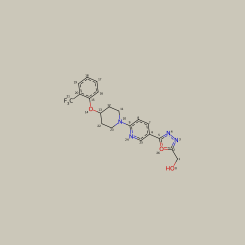 OCc1nnc(-c2ccc(N3CCC(Oc4ccccc4C(F)(F)F)CC3)nc2)o1